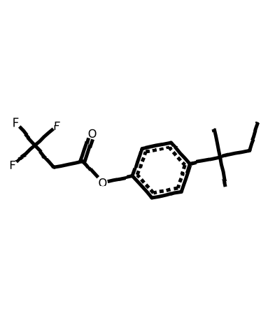 CCC(C)(C)c1ccc(OC(=O)CC(F)(F)F)cc1